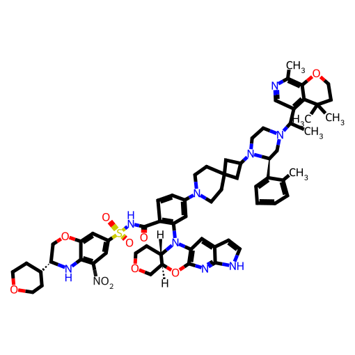 Cc1ccccc1[C@@H]1CN(C(C)c2cnc(C)c3c2C(C)(C)CCO3)CCN1C1CC2(CCN(c3ccc(C(=O)NS(=O)(=O)c4cc5c(c([N+](=O)[O-])c4)N[C@H](C4CCOCC4)CO5)c(N4c5cc6cc[nH]c6nc5O[C@H]5COCC[C@@H]54)c3)CC2)C1